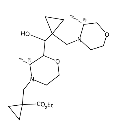 CCOC(=O)C1(CN2CCOC(C(O)C3(CN4CCOC[C@H]4C)CC3)[C@H]2C)CC1